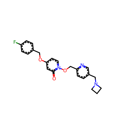 O=c1cc(OCc2ccc(F)cc2)ccn1OCc1ccc(CN2CCC2)cn1